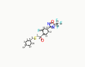 Cc1ccc(CSCC(=O)c2ccc(-c3noc(C(F)(F)F)n3)cc2F)cc1